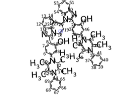 CC1=C(C)N(c2ccc(-c3nc4ccccc4n3/C=C\C(=C3CC3)n3c(-c4ccc(N5C(C)=C(C)N(c6ccccc6)C(C)=C5C)cc4O)nc4ccccc43)c(O)c2)C(C)=C(C)N1c1ccccc1